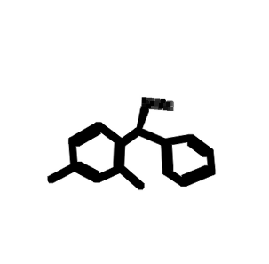 CC(=O)N[C@@H](c1ccccc1)c1ccc(C)cc1C